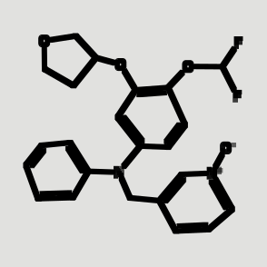 [O-][n+]1cccc(CN(c2ccccc2)c2ccc(OC(F)F)c(OC3CCOC3)c2)c1